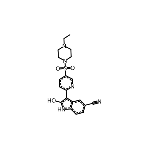 CCN1CCN(S(=O)(=O)c2ccc(-c3c(O)[nH]c4ccc(C#N)cc34)nc2)CC1